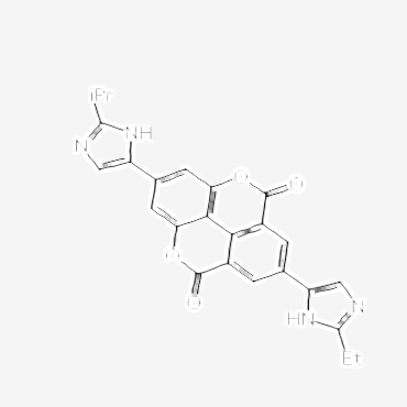 CCc1ncc(-c2cc3c(=O)oc4cc(-c5cnc(C(C)C)[nH]5)cc5oc(=O)c(c2)c3c45)[nH]1